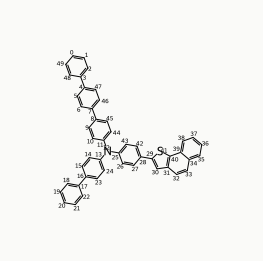 c1ccc(-c2ccc(-c3ccc(N(c4ccc(-c5ccccc5)cc4)c4ccc(-c5cc6ccc7ccccc7c6s5)cc4)cc3)cc2)cc1